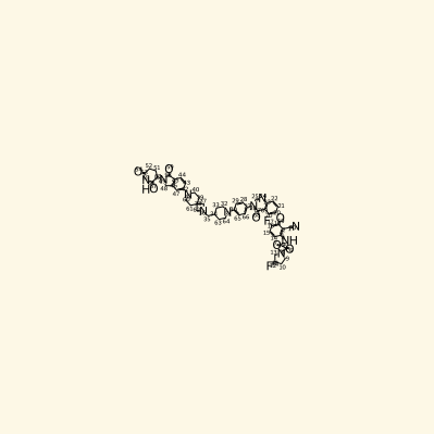 N#Cc1c(NS(=O)(=O)N2CC[C@@H](F)C2)ccc(F)c1Oc1ccc2ncn(-c3ccc(N4CCC(CN5CC6(CCN(c7ccc8c(c7)CN([C@H]7CCC(=O)NC7=O)C8=O)CC6)C5)CC4)cc3)c(=O)c2c1